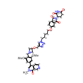 COc1cc(-c2cn(C)c(=O)c3cnccc23)cc(OC)c1CN1CC(OCc2cn(CCCCCOc3ccc4c(c3)C(=O)N(C3CCC(=O)NC3=O)C4=O)nn2)C1